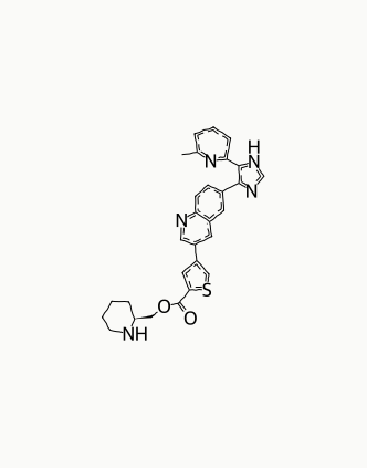 Cc1cccc(-c2[nH]cnc2-c2ccc3ncc(-c4csc(C(=O)OC[C@@H]5CCCCN5)c4)cc3c2)n1